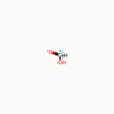 [F].[O]=[GeH][OH]